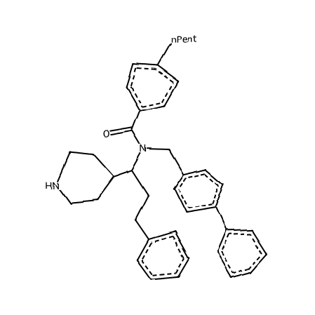 CCCCCc1ccc(C(=O)N(Cc2ccc(-c3ccccc3)cc2)C(CCc2ccccc2)C2CCNCC2)cc1